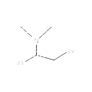 CC(C)CC(C(C)C)[15N](C)C